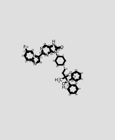 CC(C)(CC[C@H]1CC[C@H](n2c(=O)[nH]c3cnc(-c4cnc5ccc(F)cn45)nc32)CC1)[Si](O)(c1ccccc1)c1ccccc1